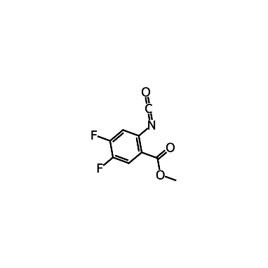 COC(=O)c1cc(F)c(F)cc1N=C=O